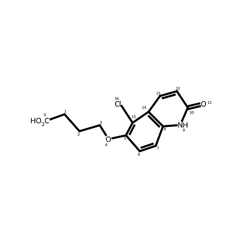 O=C(O)CCCOc1ccc2[nH]c(=O)ccc2c1Cl